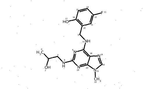 CC(O)CNc1nc(NCc2cc(F)ccc2O)c2ncn(C)c2n1